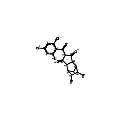 O=C(c1c(Cl)cc(Cl)cc1Cl)N1C(=O)C2C3CC(C(Br)C3Br)C2C1=O